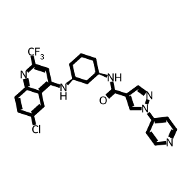 O=C(N[C@@H]1CCC[C@H](Nc2cc(C(F)(F)F)nc3ccc(Cl)cc23)C1)c1cnn(-c2ccncc2)c1